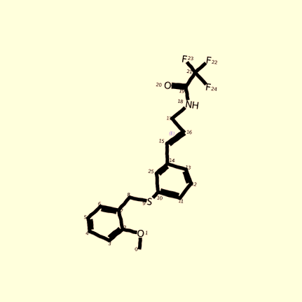 COc1ccccc1CSc1cccc(/C=C/CNC(=O)C(F)(F)F)c1